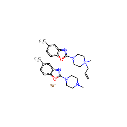 C=CC[N+]1(C)CCN(c2nc3cc(C(F)(F)F)ccc3o2)CC1.CN1CCN(c2nc3cc(C(F)(F)F)ccc3o2)CC1.[Br-]